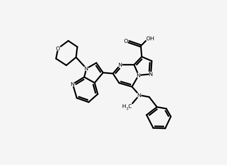 CN(Cc1ccccc1)c1cc(-c2cn(C3CCOCC3)c3ncccc23)nc2c(C(=O)O)cnn12